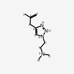 C=C(C)Cc1cn(CCN(C)C)nn1